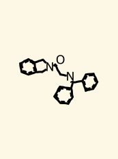 O=C(CN=C(c1ccccc1)c1ccccc1)N1Cc2ccccc2C1